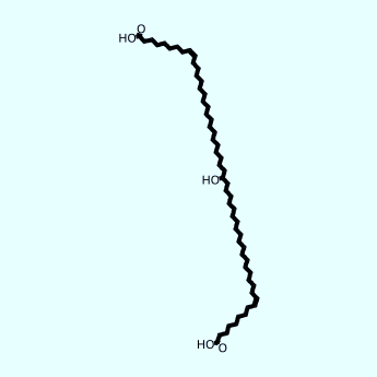 O=C(O)CCCCCCC/C=C\CCCCCCCCCCCCCCCCCCC(O)CCCCCCCCCCCCCCCCCC/C=C\CCCCCCCC(=O)O